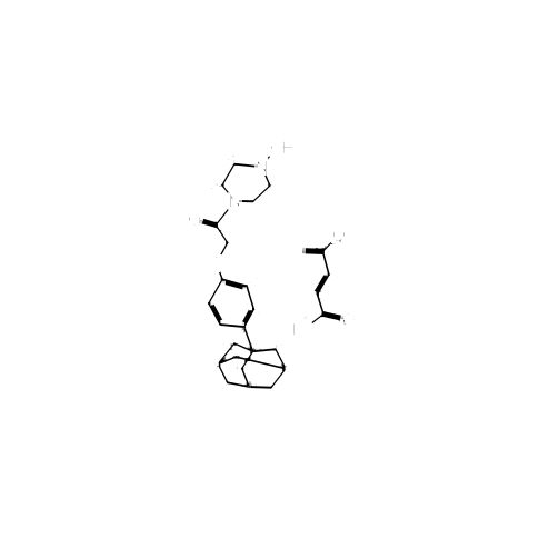 CN1CCN(C(=O)COc2ccc(C34CC5CC(CC(C5)C3)C4)cc2)CC1.O=C(O)/C=C/C(=O)O